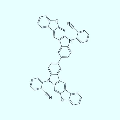 N#Cc1ccccc1-n1c2ccc(-c3ccc4c(c3)c3cc5c(cc3n4-c3ccccc3C#N)oc3ccccc35)cc2c2cc3c(cc21)oc1ccccc13